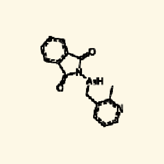 Cc1ncccc1C[AsH]N1C(=O)c2ccccc2C1=O